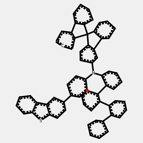 c1ccc(-c2ccccc2-c2ccccc2-c2ccccc2N(c2ccc(-c3ccc4sc5ccccc5c4c3)cc2)c2ccc3c(c2)-c2ccccc2C32c3ccccc3-c3ccccc32)cc1